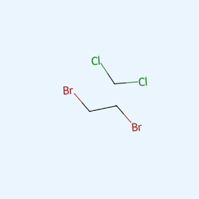 BrCCBr.ClCCl